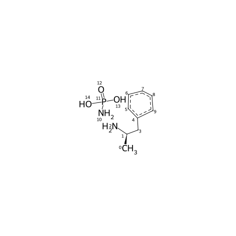 C[C@@H](N)Cc1ccccc1.NP(=O)(O)O